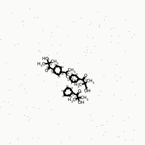 CC(C)(CO)C(=O)c1ccccc1.CC(C)(O)C(=O)c1ccccc1.CC(C)c1ccc(C(=O)C(C)(C)O)cc1